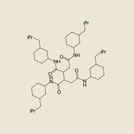 CC(C)CC1CCCC(NC(=O)CC(C(=O)NC2CCCC(CC(C)C)C2)C(CC(=O)NC2CCCC(CC(C)C)C2)C(=O)NC2CCCC(CC(C)C)C2)C1